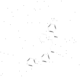 CSc1ccc(C(=O)C(CCC(=O)c2ccc(Oc3ccccc3)cc2)N2CCOCC2)cc1